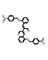 O=CC(=C\c1ccccc1OCc1ccc([N+](=O)[O-])cc1)/C(C=O)=C/c1ccccc1OCc1ccc([N+](=O)[O-])cc1